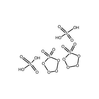 O=S(=O)(O)O.O=S(=O)(O)O.O=S1(=O)OOOO1.O=S1(=O)OOOO1